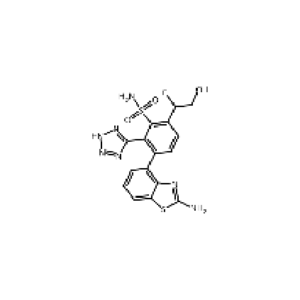 Nc1nc2c(-c3ccc(C(F)CO)c(S(N)(=O)=O)c3-c3nn[nH]n3)cccc2s1